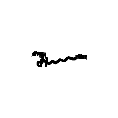 [CH2]CCNC(=O)C(C)(C)CCCCCCCCCCCCCCCC